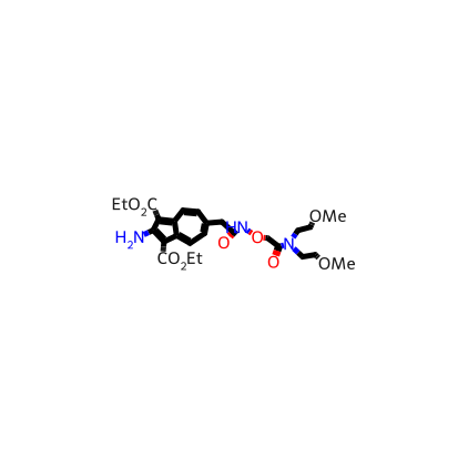 CCOC(=O)c1c2ccc(CC(=O)NOCC(=O)N(CCOC)CCOC)ccc-2c(C(=O)OCC)c1N